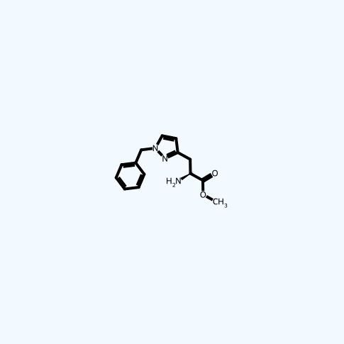 COC(=O)[C@@H](N)Cc1ccn(Cc2ccccc2)n1